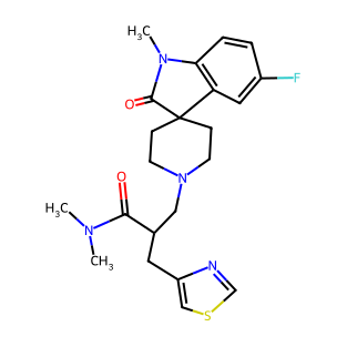 CN(C)C(=O)C(Cc1cscn1)CN1CCC2(CC1)C(=O)N(C)c1ccc(F)cc12